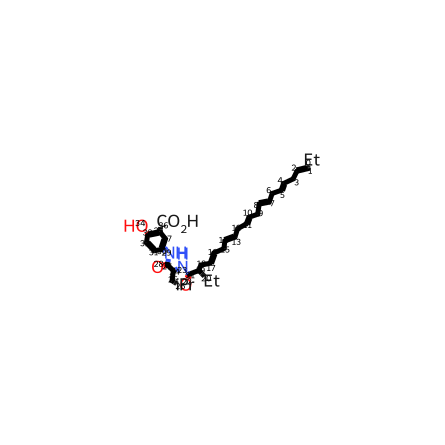 CCC=CCC=CCC=CCC=CCC=CCC=CCC(CC)C(=O)NC(CC(C)C)C(=O)Nc1ccc(O)c(C(=O)O)c1